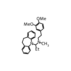 CCC(N(C)CCc1ccc(OC)c(OC)c1)N1c2ccccc2CCc2ccccc21